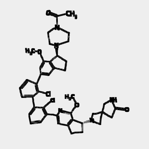 COc1cc(-c2cccc(-c3cccc(-c4cc5c(c(OC)n4)[C@H](N4CC6(CNC(=O)C6)C4)CC5)c3Cl)c2Cl)cc2c1[C@@H](N1CCN(C(C)=O)CC1)CC2